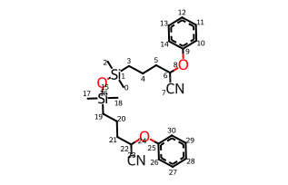 C[Si](C)(CCCC(C#N)Oc1ccccc1)O[Si](C)(C)CCCC(C#N)Oc1ccccc1